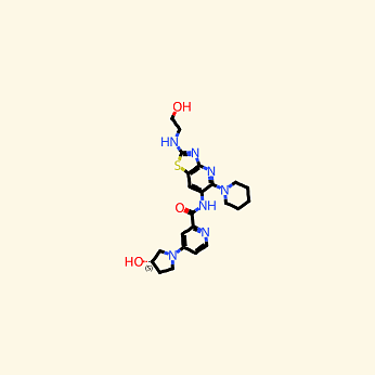 O=C(Nc1cc2sc(NCCO)nc2nc1N1CCCCC1)c1cc(N2CC[C@H](O)C2)ccn1